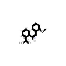 COc1ccccc1/C=C(/F)c1ccccc1C(=O)O